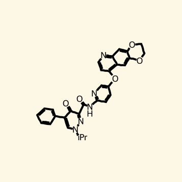 CC(C)n1cc(-c2ccccc2)c(=O)c(C(=O)Nc2ccc(Oc3ccnc4cc5c(cc34)OCCO5)cn2)n1